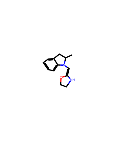 CC1Cc2ccccc2N1C=C1NCCO1